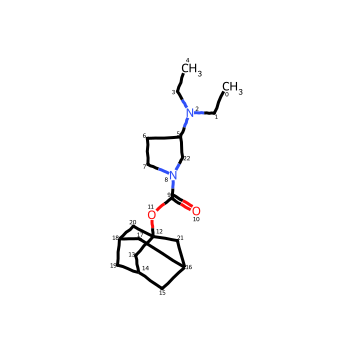 CCN(CC)C1CCN(C(=O)OC23CC4CC(CC(C4)C2)C3)C1